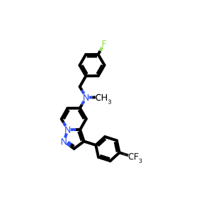 CN(Cc1ccc(F)cc1)c1ccn2ncc(-c3ccc(C(F)(F)F)cc3)c2c1